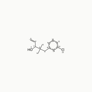 [CH]=CC(O)C(C)(C)Cc1cccc(Cl)c1